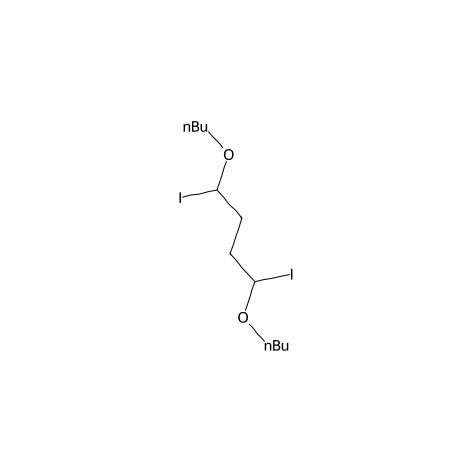 CCCCOC(I)CCC(I)OCCCC